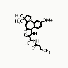 COc1ccc2c(c1)N1CCC(C)(C)C1=CC(=O)C2NC(=O)[C@H](C)NC(=O)CCC(F)(F)F